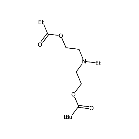 CCC(=O)OCCN(CC)CCOC(=O)C(C)(C)C